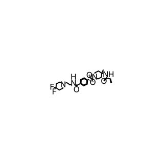 C=CC(=O)NC1(C)CCN(S(=O)(=O)c2ccc(C(=O)NCCN3CCC(F)(F)CC3)cc2)CC1